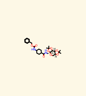 CC1(C)O[C@@H]2[C@@H](CO[C@@]3(CNC(=O)C4CCC(NC(=O)OCc5ccccc5)CC4)OC(C)(C)O[C@@H]23)O1